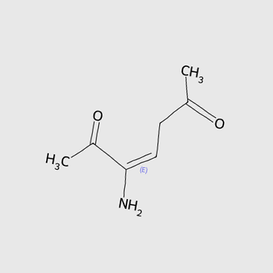 CC(=O)C/C=C(/N)C(C)=O